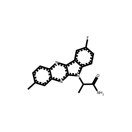 Cc1ccc2nc3c4cc(F)ccc4n(C(C)C(N)=O)c3nc2c1